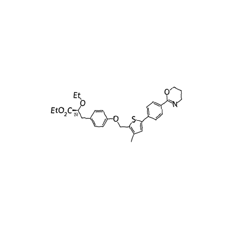 CCOC(=O)[C@H](Cc1ccc(OCc2sc(-c3ccc(C4=NCCCO4)cc3)cc2C)cc1)OCC